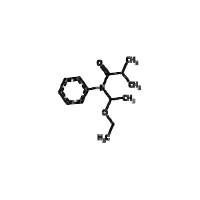 CCOC(C)N(C(=O)C(C)C)c1ccccc1